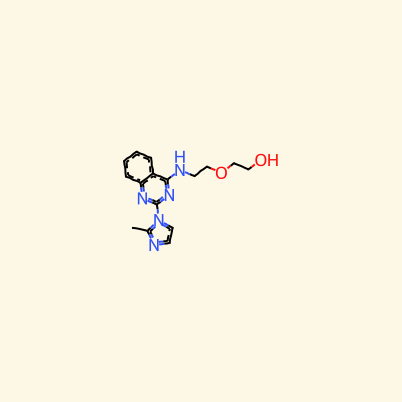 Cc1nccn1-c1nc(NCCOCCO)c2ccccc2n1